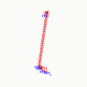 CC(C)[C@H](NC(=O)CCOCCOCCOCCOCCOCCOCCOCCOCCOCCOCCOCCOCCOCCOCCOCCOCCOCCOCCOCCOCCNC(=O)CCN1C(=O)C=CC1=O)C(=O)N[C@@H](CCCCNC(N)=O)C(=O)O